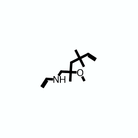 C=CNCC(C)(CC(C)(C)C=C)OC